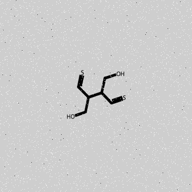 OCC(C=S)C(C=S)CO